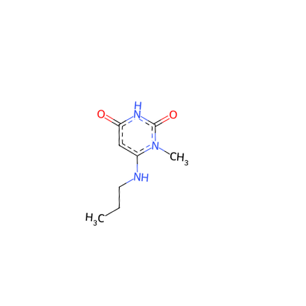 CCCNc1cc(=O)[nH]c(=O)n1C